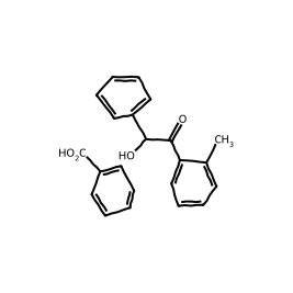 Cc1ccccc1C(=O)C(O)c1ccccc1.O=C(O)c1ccccc1